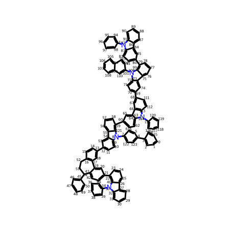 c1ccc(-c2ccc(-n3c4ccc(-c5ccc6c(c5)-c5cc(-c7cccc8c9ccccc9n(-c9ccccc9)c78)ccc5C(c5ccccc5)CC6)cc4c4cccc(-c5ccc6c(c5)c5cc(-c7ccc8c(c7)c7cccc(-c9ccc%10c(c9)c9ccccc9n%10-c9ccccc9)c7n8-c7ccc8ccccc8c7)ccc5n6-c5ccccc5)c43)cc2)cc1